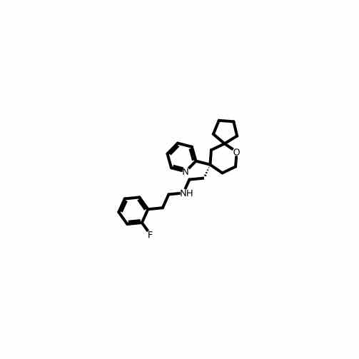 Fc1ccccc1CCNCC[C@@]1(c2ccccn2)CCOC2(CCCC2)C1